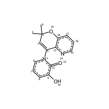 CC1(C)C=C(n2cccc(O)c2=O)c2ncccc2O1